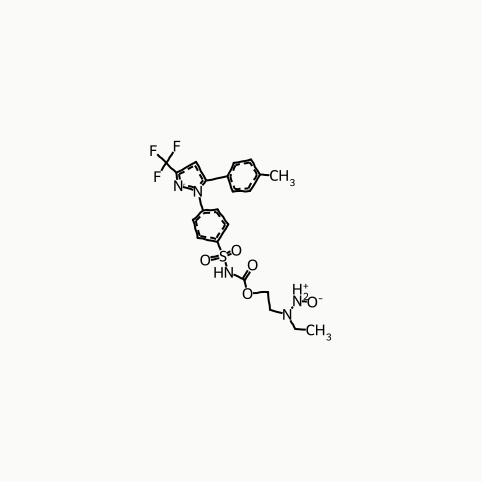 CCN(CCOC(=O)NS(=O)(=O)c1ccc(-n2nc(C(F)(F)F)cc2-c2ccc(C)cc2)cc1)[NH2+][O-]